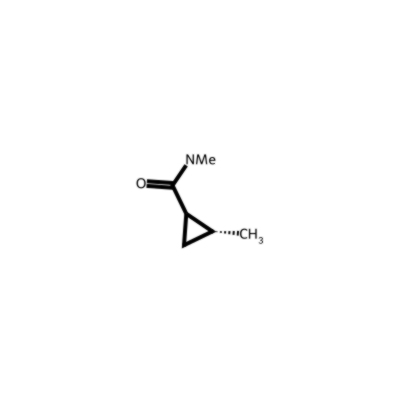 CNC(=O)C1C[C@H]1C